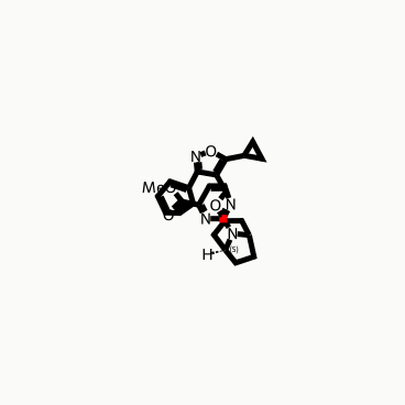 COC(=O)c1ccnc(N2C3CC[C@H]2CC(OCc2c(-c4ccccc4)noc2C2CC2)C3)n1